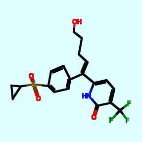 O=c1[nH]c(C(=CCCCO)c2ccc(S(=O)(=O)C3CC3)cc2)ccc1C(F)(F)F